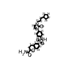 NC(=O)C1CCc2cc(S(=O)(=O)Nc3ccc(-n4ccn(CCCC5CCCC5)c4=O)cc3)ccc2O1